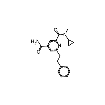 CN(C(=O)c1cc(C(N)=O)cc(CCc2ccccc2)n1)C1CC1